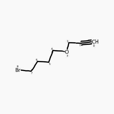 C#CCOCCCCBr